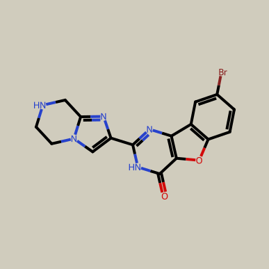 O=c1[nH]c(-c2cn3c(n2)CNCC3)nc2c1oc1ccc(Br)cc12